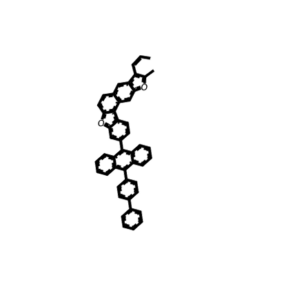 C/C=C\c1c(C)oc2cc3c(ccc4oc5cc(-c6c7ccccc7c(-c7ccc(-c8ccccc8)cc7)c7ccccc67)ccc5c43)cc12